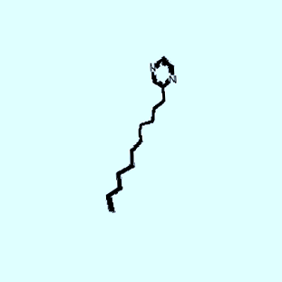 C=CCCCCCCCCCc1cnccn1